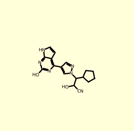 N#CC(O)C(C1CCCC1)n1cc(-c2nc(O)nc3[nH]ccc23)cn1